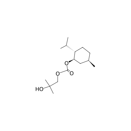 CC(C)[C@@H]1CC[C@@H](C)C[C@H]1OC(=O)OCC(C)(C)O